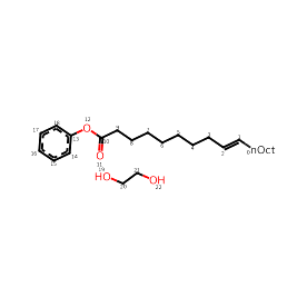 CCCCCCCCC=CCCCCCCCC(=O)Oc1ccccc1.OCCO